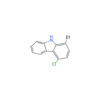 CCc1ccc(Cl)c2c1[nH]c1ccccc12